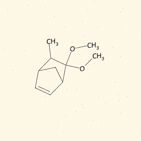 COC1(OC)C2C=CC(C2)C1C